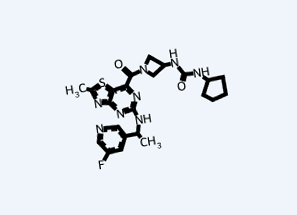 Cc1nc2nc(NC(C)c3cncc(F)c3)nc(C(=O)N3CC(NC(=O)NC4CCCC4)C3)c2s1